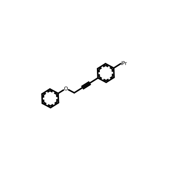 CC(C)c1ccc(C#CCOc2ccccc2)cc1